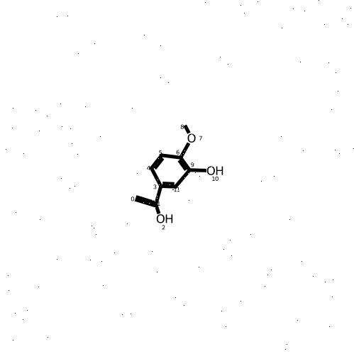 C=C(O)c1ccc(OC)c(O)c1